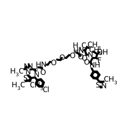 Cc1ncsc1-c1ccc(CNC(=O)C2C(F)C(O)CN2C(=O)[C@@H](NC(=O)COCCOCCOCCNC(=O)C[C@@H]2N=C(c3ccc(Cl)cc3)c3c(sc(C)c3C)-n3c(C)nnc32)C(C)(C)C)cc1